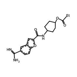 CCC(=O)OC1CCC(NC(=O)c2cc3cc(C(=N)N)ccc3o2)CC1